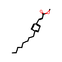 CCCCCCCCc1ccc(C=CC(=O)OC)cc1